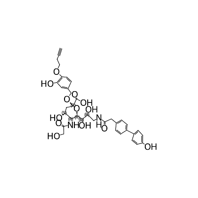 C#CCCOc1ccc(CO[C@]2(C(=O)O)C[C@H](O)[C@@H](NC(=O)CO)[C@H]([C@H](O)[C@H](O)CNC(=O)Cc3ccc(-c4ccc(O)cc4)cc3)O2)cc1O